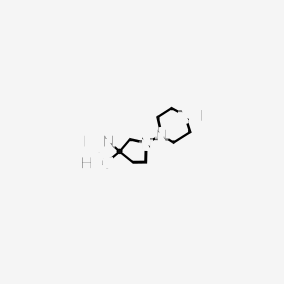 CC1(N)CCN(N2CCNCC2)C1